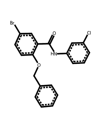 O=C(Nc1cccc(Cl)c1)c1cc(Br)ccc1OCc1ccccc1